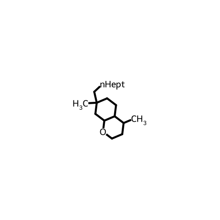 CCCCCCCCC1(C)CCC2C(C)CCOC2C1